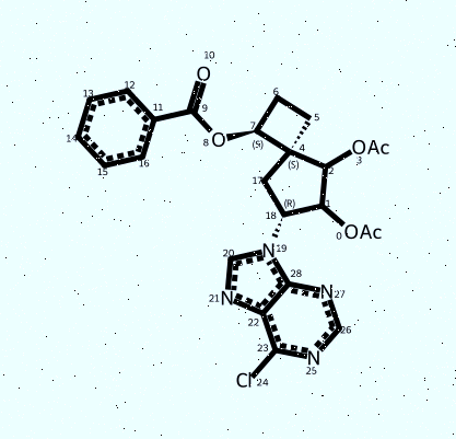 CC(=O)OC1C(OC(C)=O)[C@@]2(CC[C@@H]2OC(=O)c2ccccc2)C[C@H]1n1cnc2c(Cl)ncnc21